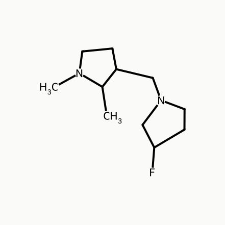 CC1C(CN2CCC(F)C2)CCN1C